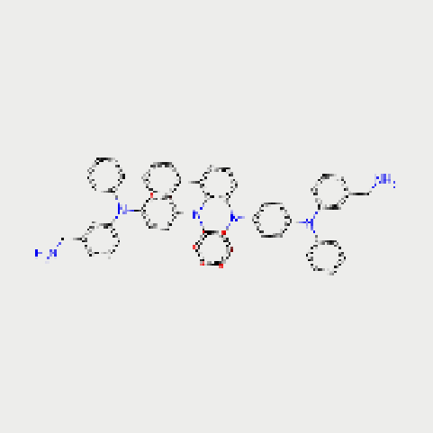 NCc1cccc(N(c2ccccc2)c2ccc(N(c3ccccc3)c3cccc(-c4ccccc4)c3N(c3ccccc3)c3ccc(N(c4ccccc4)c4cccc(CN)c4)cc3)cc2)c1